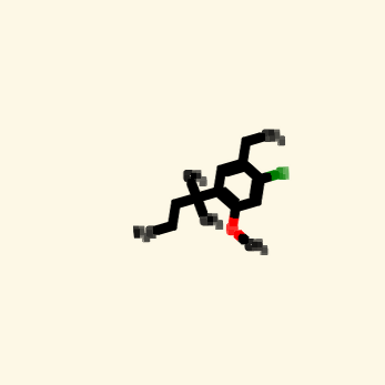 CCCC(C)(C)c1cc(CC)c(Cl)cc1OC